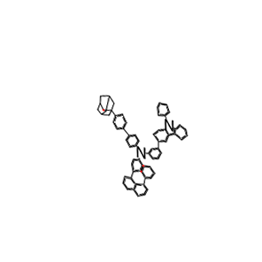 c1ccc(-c2cccc3cccc(-c4ccc(N(c5ccc(-c6ccc(C78CC9CC(CC(C9)C7)C8)cc6)cc5)c5cccc(-c6ccc7c(c6)c6ccccc6n7-c6ccccc6)c5)cc4)c23)cc1